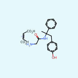 CC(Cc1ccc(O)cc1)(NC(=O)CN)c1ccccc1.O=C(O)/C=C\C(=O)O